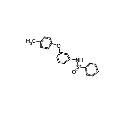 Cc1ccc(Oc2cccc(N[S+]([O-])c3ccccc3)c2)cc1